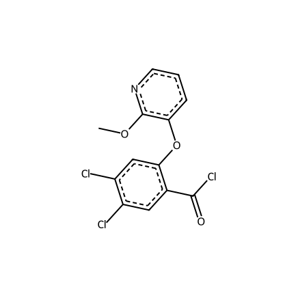 COc1ncccc1Oc1cc(Cl)c(Cl)cc1C(=O)Cl